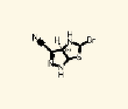 N#CC1=NNC2SC(Br)N[C@H]12